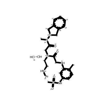 Cc1ccc(NS(C)(=O)=O)cc1NCC(=O)N(CCNC(C)C)CC(=O)N(C)N1Cc2ccccc2C1.Cl.Cl